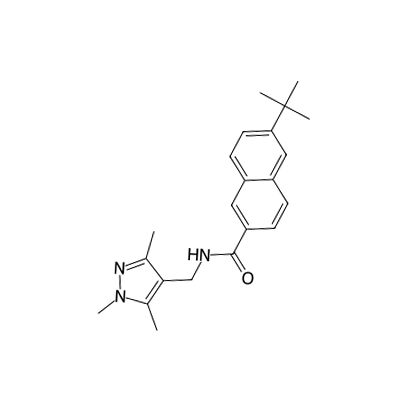 Cc1nn(C)c(C)c1CNC(=O)c1ccc2cc(C(C)(C)C)ccc2c1